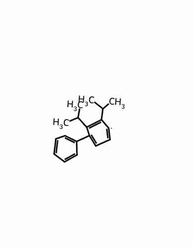 CC(C)c1[c]ccc(-c2ccccc2)c1C(C)C